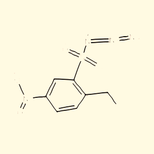 CCc1ccc([N+](=O)[O-])cc1S(=O)(=O)N=[N+]=[N-]